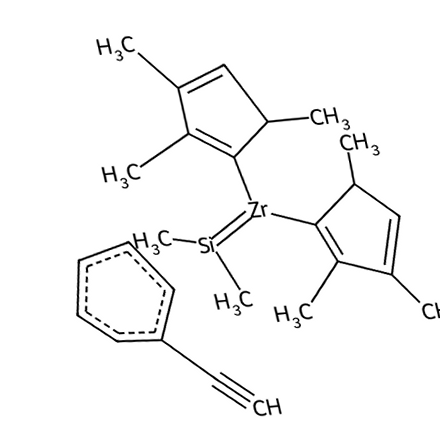 C#Cc1ccccc1.CC1=CC(C)[C]([Zr]([C]2=C(C)C(C)=CC2C)=[Si](C)C)=C1C